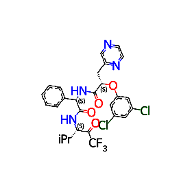 CC(C)[C@H](NC(=O)[C@@H](NC(=O)[C@H](Cc1cnccn1)Oc1cc(Cl)cc(Cl)c1)c1ccccc1)C(=O)C(F)(F)F